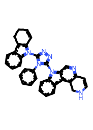 C1=Cc2c(c3ccccc3n2-c2nnc(-n3c4ccccc4c4c5c(ncc43)C=CNC5)n2-c2ccccc2)CC1